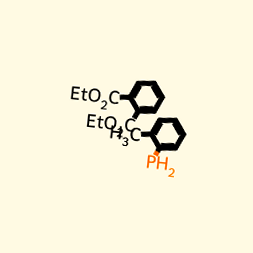 CCOC(=O)c1ccccc1C(=O)OCC.Cc1ccccc1P